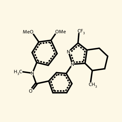 COc1ccc(N(C)C(=O)c2cccc(-n3nc(C(F)(F)F)c4c3C(C)CCC4)c2)cc1OC